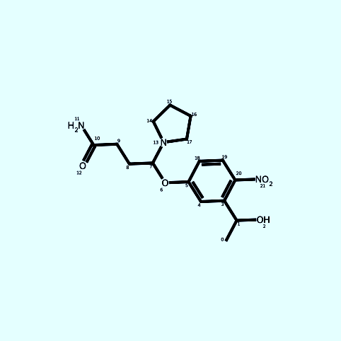 CC(O)c1cc(OC(CCC(N)=O)N2CCCC2)ccc1[N+](=O)[O-]